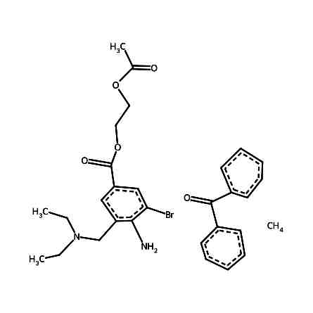 C.CCN(CC)Cc1cc(C(=O)OCCOC(C)=O)cc(Br)c1N.O=C(c1ccccc1)c1ccccc1